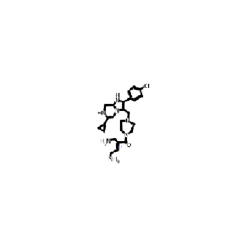 NC/C=C(\CN)C(=O)N1CCN(CC2=C(c3ccc(Cl)cc3)NC3CNC(C4CC4)=CN23)CC1